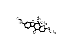 COc1ccc2c(n1)C(C)(C)c1oc3cc(NC=O)ccc3c1C2=O